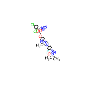 CCC(C)n1ncn(-c2ccc(N3CCN(c4ccc(OCC5COC(Cn6cncn6)(c6ccc(Cl)cc6Cl)O5)cn4)C(C)C3)cc2F)c1=O